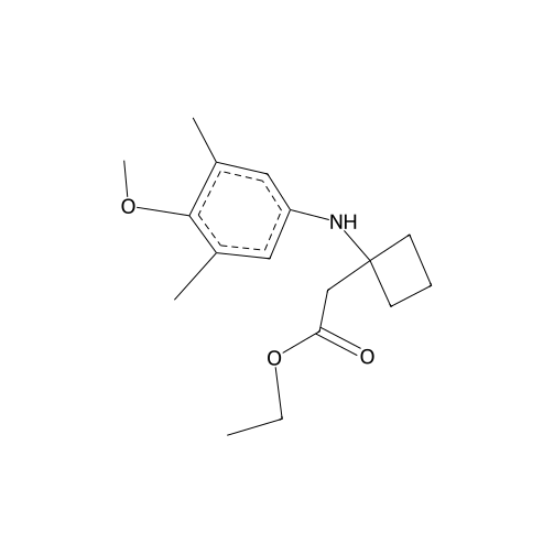 CCOC(=O)CC1(Nc2cc(C)c(OC)c(C)c2)CCC1